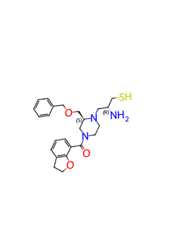 N[C@@H](CS)CN1CCN(C(=O)c2cccc3c2OCC3)C[C@H]1COCc1ccccc1